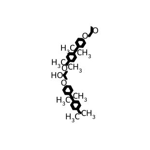 CC(C)c1ccc(C(C)(C)c2ccc(OCC(O)COC(C)(C)c3ccc(C(C)(C)c4ccc(OCC5CO5)cc4)cc3)cc2)cc1